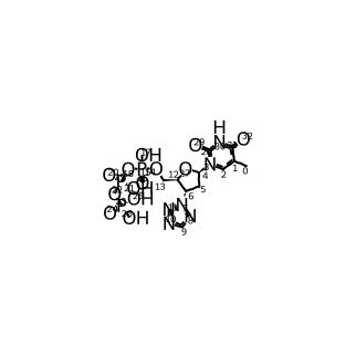 Cc1cn([C@H]2C[C@H](n3ncnn3)[C@@H](COP(=O)(O)OP(=O)(O)OP(=O)(O)O)O2)c(=O)[nH]c1=O